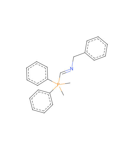 CP(C)(C=NCc1ccccc1)(c1ccccc1)c1ccccc1